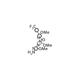 COCC1CN(c2cnc(N)cc2OC)CCN1C(=O)c1cc(OC)c(-c2ccc(C(F)(F)F)cc2)cn1